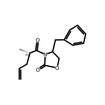 C=CC[C@H](C)C(=O)N1C(=O)OCC1Cc1ccccc1